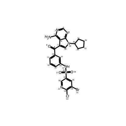 Nc1ncnc2c1c(C(=O)c1cccc(NS(=O)(=O)c3cnc(Cl)c(Br)c3)c1)cn2C1CCCC1